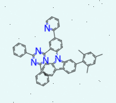 Cc1cc(C)c(-c2ccc3c4ccccc4n(-c4ccc(-c5ccccn5)cc4-c4nc(-c5ccccc5)nc(-c5ccccc5)n4)c3c2)c(C)c1